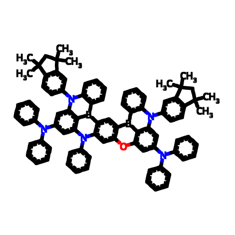 CC1(C)CC(C)(C)c2cc(N3c4ccccc4B4c5cc6c(cc5Oc5cc(N(c7ccccc7)c7ccccc7)cc3c54)N(c3ccccc3)c3cc(N(c4ccccc4)c4ccccc4)cc4c3B6c3ccccc3N4c3ccc4c(c3)C(C)(C)CC4(C)C)ccc21